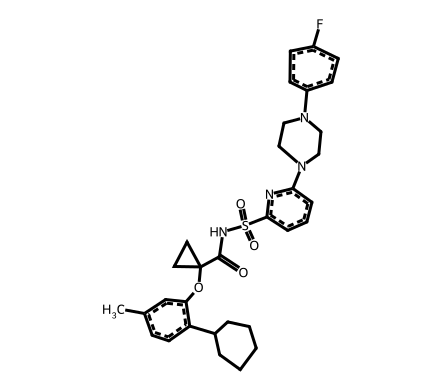 Cc1ccc(C2CCCCC2)c(OC2(C(=O)NS(=O)(=O)c3cccc(N4CCN(c5ccc(F)cc5)CC4)n3)CC2)c1